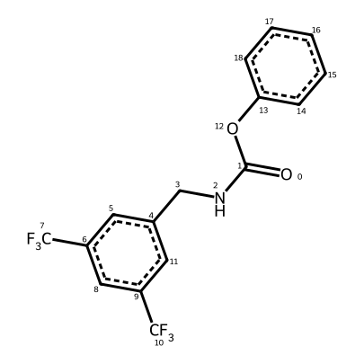 O=C(NCc1cc(C(F)(F)F)cc(C(F)(F)F)c1)Oc1ccccc1